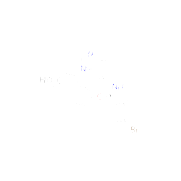 Cc1cc(Br)ccc1C(=O)Nc1ccc2ncn(C(CC(=O)O)c3ccccc3)c2c1